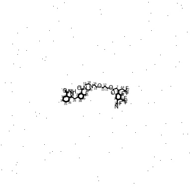 N#Cc1ccc(C(CC(=O)OCCCOCCN2CCN(C(=O)c3cc(Cc4n[nH]c(=O)c5ccccc45)ccc3F)CC2)CC(F)(F)F)cc1C(F)(F)F